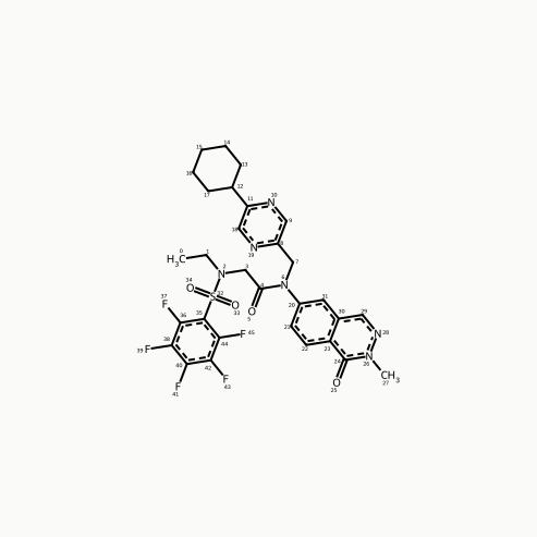 CCN(CC(=O)N(Cc1cnc(C2CCCCC2)cn1)c1ccc2c(=O)n(C)ncc2c1)S(=O)(=O)c1c(F)c(F)c(F)c(F)c1F